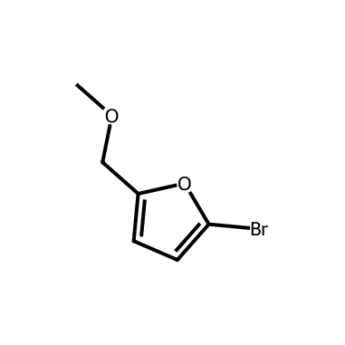 COCc1ccc(Br)o1